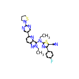 CCN(c1nc(-c2ccc(F)cc2)c(C#N)s1)c1c2nc(-c3cnc(N4CCCS4)nc3)ccc2nn1CC